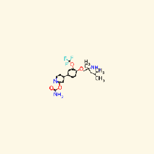 CC(C)CC(C)(N)COc1ccc(-c2ccnc(OC(N)=O)c2)cc1OC(F)(F)F